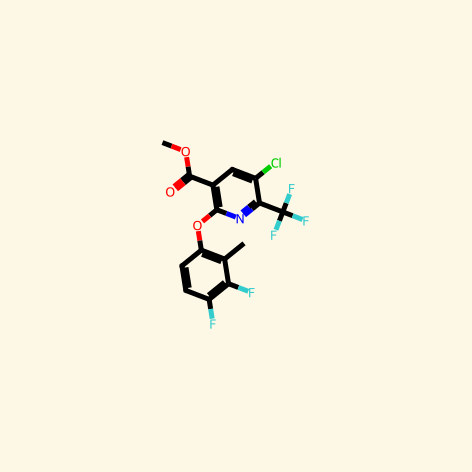 COC(=O)c1cc(Cl)c(C(F)(F)F)nc1Oc1ccc(F)c(F)c1C